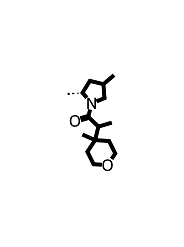 CC1C[C@@H](C)N(C(=O)C(C)C2(C)CCOCC2)C1